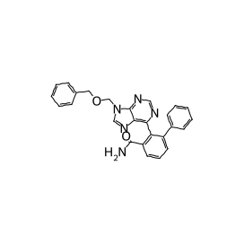 NC(=O)c1cccc(-c2ccccc2)c1-c1ncnc2c1ncn2COCc1ccccc1